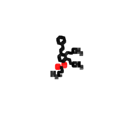 C=CC(=O)Oc1ccc(C=Cc2ccccc2)c(CCC)c1CCC